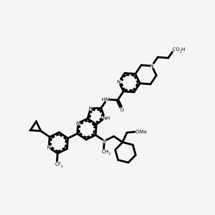 COCC1(CN(C)c2cc(-c3cc(C4CC4)nc(C(F)(F)F)c3)nc3nc(NC(=O)c4cc5c(cn4)CN(CCC(=O)O)CC5)[nH]c23)CCCCC1